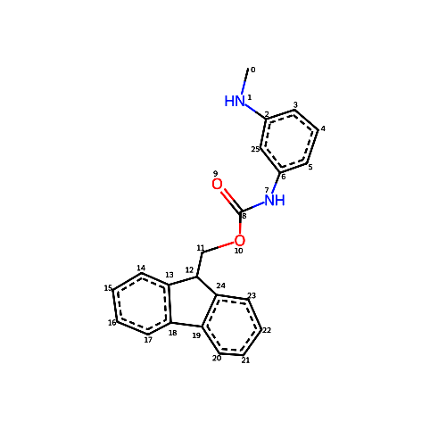 CNc1cccc(NC(=O)OCC2c3ccccc3-c3ccccc32)c1